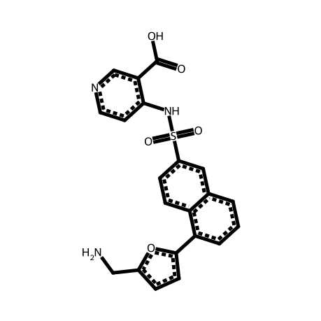 NCc1ccc(-c2cccc3cc(S(=O)(=O)Nc4ccncc4C(=O)O)ccc23)o1